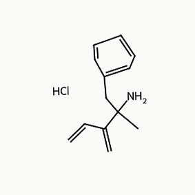 C=CC(=C)C(C)(N)Cc1ccccc1.Cl